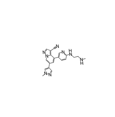 CNCCNc1ccc(-c2cc(-c3cnn(C)c3)cn3ncc(C#N)c23)cn1